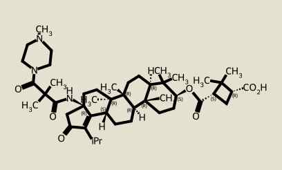 CC(C)C1=C2[C@H]3CC[C@@H]4[C@@]5(C)CC[C@H](OC(=O)[C@H]6C[C@@H](C(=O)O)C6(C)C)C(C)(C)[C@@H]5CC[C@@]4(C)[C@]3(C)CC[C@@]2(NC(=O)C(C)(C)C(=O)N2CCN(C)CC2)CC1=O